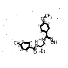 CC[C@@H](CN/C(=N\O)c1ccc(OC(F)(F)F)cc1)NC(=O)c1ccc(Cl)cc1